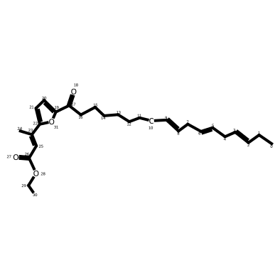 CCC=CCC=CCC=CCCCCCCCC(=O)c1ccc(C(C)=CC(=O)OCC)o1